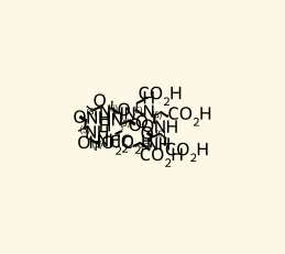 C[C@H](N)C(=O)N[C@@H](C)C(=O)N[C@@H](C)C(=O)N[C@@H](C)C(=O)N[C@@H](CCC(=O)O)C(=O)N[C@@H](CCC(=O)O)C(=O)N[C@@H](CCC(=O)O)C(=O)N[C@@H](CCC(=O)O)C(=O)N[C@@H](CCC(=O)O)C(=O)O